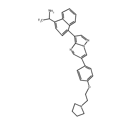 NC(c1ccc(-c2cnn3cc(-c4ccc(OCCN5CCCC5)cc4)cnc23)c2ccccc12)C(F)(F)F